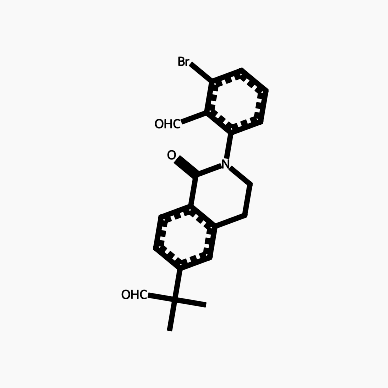 CC(C)(C=O)c1ccc2c(c1)CCN(c1cccc(Br)c1C=O)C2=O